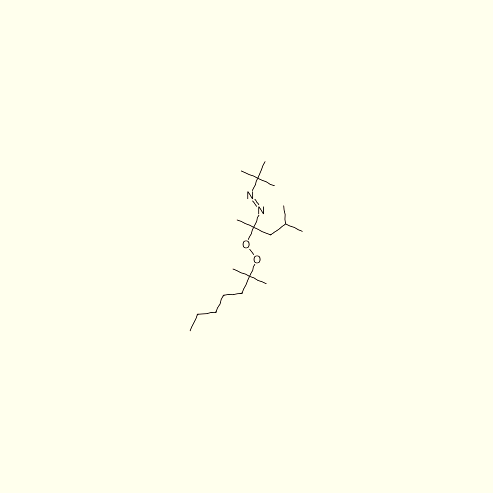 CCCCCC(C)(C)OOC(C)(CC(C)C)N=NC(C)(C)C